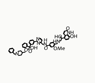 COc1cc(C(=O)NCc2ccnc(-c3cccc(C(O)(C(=O)OCC4CCN(Cc5ccccc5)CC4)c4ccccc4)c3)n2)ccc1CNCC(O)c1ccc(O)c2[nH]c(=O)ccc12